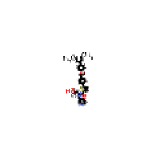 CCCC(CCC)c1ccc(OCc2ccc(-c3ccc(C(=O)N(CC(=O)O)Cc4cccnc4)s3)cc2)cc1